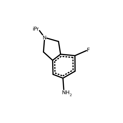 CC(C)N1Cc2cc(N)cc(F)c2C1